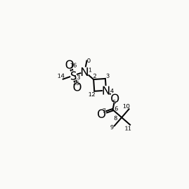 CN(C1CN(OC(=O)C(C)(C)C)C1)S(C)(=O)=O